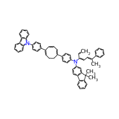 C=C/C(=C\C=C(/C)c1ccccc1)N(c1ccc(/C2=C/C=C\C(c3ccc(-n4c5ccccc5c5ccccc54)cc3)=C/CC2)cc1)c1ccc2c(c1)C(C)(C)c1ccccc1-2